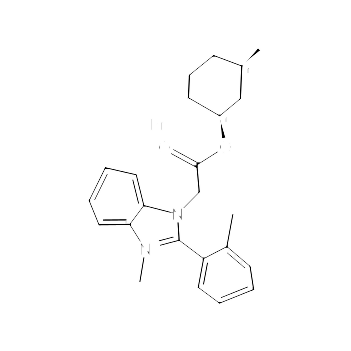 Cc1ccccc1-c1n(CC(=O)O[C@@H]2C[C@H](C)CC[C@H]2C(C)C)c2ccccc2[n+]1C